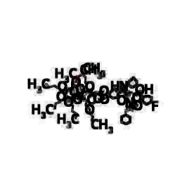 CCCCOCC1O[C@@H](O[C@@H]2C(COCCCC)O[C@@H](CS(=O)(=O)Oc3ccc([C@@H](Nc4ccccc4)[C@@H](CC[C@H](O)c4ccc(F)cc4)C(=O)N4C(=O)OC[C@@H]4Cc4ccccc4)cc3)[C@@H](OCCCC)C2OCCCC)[C@@H](OCCCC)C(OCCCC)[C@@H]1OCCCC